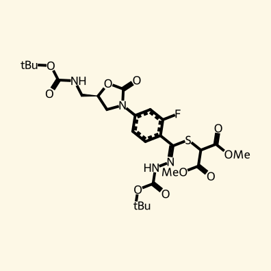 COC(=O)C(SC(=NNC(=O)OC(C)(C)C)c1ccc(N2C[C@@H](CNC(=O)OC(C)(C)C)OC2=O)cc1F)C(=O)OC